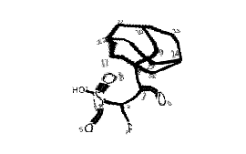 O=C(C(F)S(=O)(=O)O)C12CC3CC(CC(C3)C1)C2